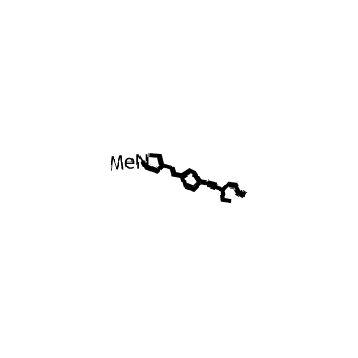 C=C/C=C\C(C#Cc1ccc(C=CC(/C=C\NC)=C/C)cc1)=C/C